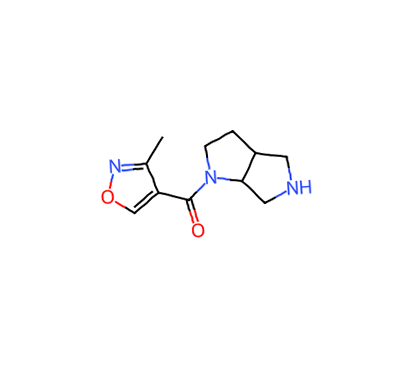 Cc1nocc1C(=O)N1CCC2CNCC21